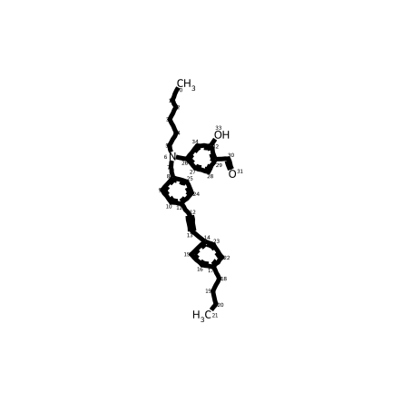 CCCCCCN(Cc1ccc(C#Cc2ccc(CCCC)cc2)cc1)c1ccc(C=O)c(O)c1